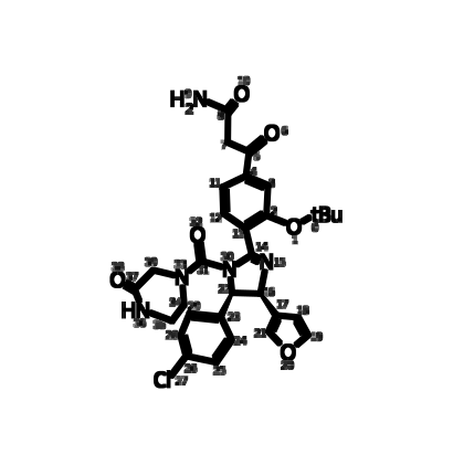 CC(C)(C)Oc1cc(C(=O)CC(N)=O)ccc1C1=N[C@@H](c2ccoc2)[C@@H](c2ccc(Cl)cc2)N1C(=O)N1CCNC(=O)C1